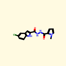 Cn1cccc1C(=O)NNC(=O)c1cc2cc(Cl)ccc2[nH]1